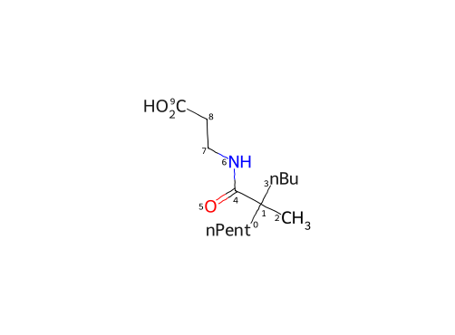 CCCCCC(C)(CCCC)C(=O)NCCC(=O)O